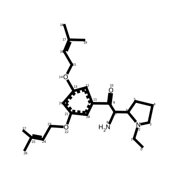 CCN1CCCC1C(N)C(=O)c1cc(OCC=C(C)C)cc(OCC=C(C)C)c1